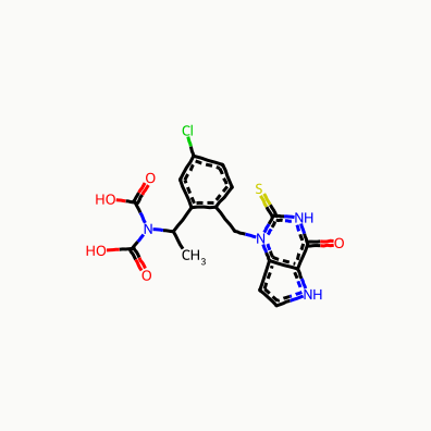 CC(c1cc(Cl)ccc1Cn1c(=S)[nH]c(=O)c2[nH]ccc21)N(C(=O)O)C(=O)O